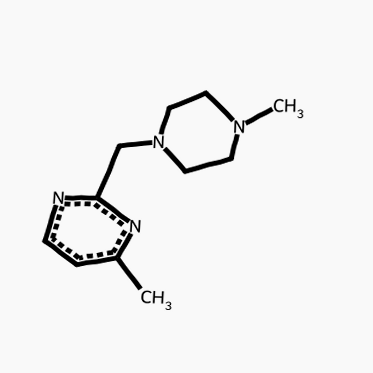 Cc1ccnc(CN2CCN(C)CC2)n1